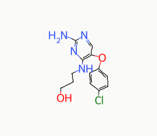 Nc1ncc(Oc2ccc(Cl)cc2)c(NCCCO)n1